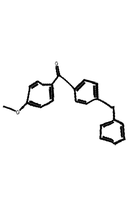 COc1ccc(C(=O)c2ccc(Cc3ccccc3)cc2)cc1